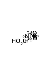 CC1C(CC(=O)O)N(C)CCN1S(C)(=O)=O